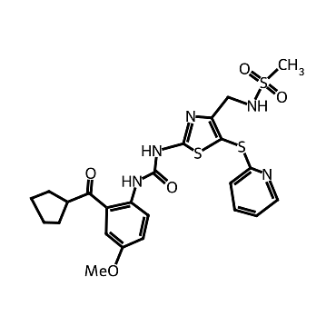 COc1ccc(NC(=O)Nc2nc(CNS(C)(=O)=O)c(Sc3ccccn3)s2)c(C(=O)C2CCCC2)c1